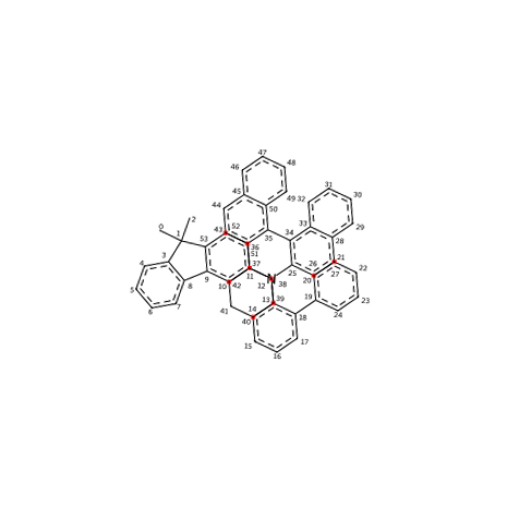 CC1(C)c2ccccc2-c2cc(N(c3ccccc3-c3ccccc3)c3ccc4ccccc4c3-c3c(C4CCCCC4)ccc4ccccc34)ccc21